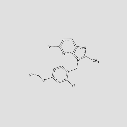 CCCCCOc1ccc(Cn2c(C)nc3ccc(Br)nc32)c(Cl)c1